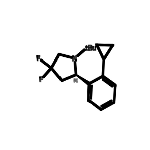 CC(C)(C)N1CC(F)(F)C[C@@H]1c1ccccc1C1CC1